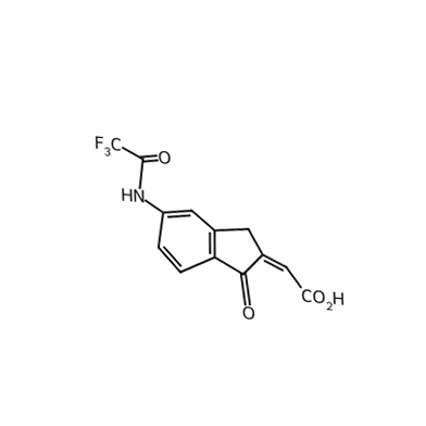 O=C(O)/C=C1/Cc2cc(NC(=O)C(F)(F)F)ccc2C1=O